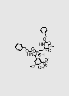 COC(=O)[C@H](CCP(=O)(O)C(NC(=O)OCc1ccccc1)c1cc(OC)c(O)c([N+](=O)[O-])c1)NC(=O)OCc1ccccc1